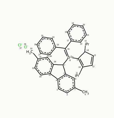 Cc1ccc2c(c1)[CH]([Zr+2]([C]1=C(C(C)C)C=CC1C(C)C)=[C](c1ccccc1)c1ccccc1)c1cc(C)ccc1-2.[Cl-].[Cl-]